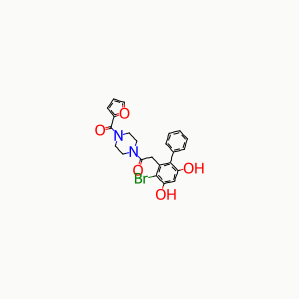 O=C(Cc1c(Br)c(O)cc(O)c1-c1ccccc1)N1CCN(C(=O)c2ccco2)CC1